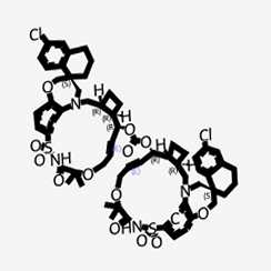 CC1(C)OC/C=C/[C@H](OC(=O)O[C@H]2/C=C/COC(C)(C)C(=O)NS(=O)(=O)c3ccc4c(c3)N(C[C@@H]3CC[C@H]32)C[C@@]2(CCCc3cc(Cl)ccc32)CO4)[C@@H]2CC[C@H]2CN2C[C@@]3(CCCc4cc(Cl)ccc43)COc3ccc(cc32)S(=O)(=O)NC1=O